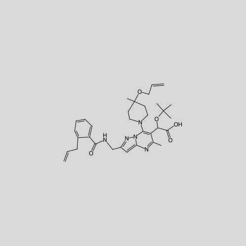 C=CCOC1(C)CCN(c2c(C(OC(C)(C)C)C(=O)O)c(C)nc3cc(CNC(=O)c4ccccc4CC=C)nn23)CC1